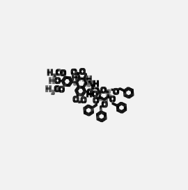 COc1cc([C@@H]2c3cc4c(cc3[C@@H](NC(=O)C[C@]3(O)O[C@H](COCc5ccccc5)[C@@H](OCc5ccccc5)[C@H](OCc5ccccc5)[C@H]3OCc3ccccc3)[C@H]3COC(=O)[C@H]23)OCO4)cc(OC)c1O